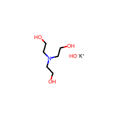 OCCN(CCO)CCO.[K+].[OH-]